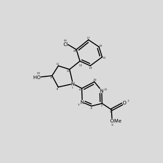 COC(=O)c1cnc(N2CC(O)CC2c2ccccc2Cl)cn1